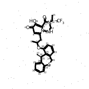 CC(Cc1cc(=O)c(O)c2n1NCN([C@H](C)C(F)(F)F)C2=O)Oc1cccc2c1[C@H](C)c1ccccc1SC2